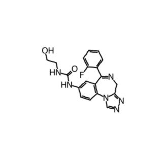 O=C(NCCO)Nc1ccc2c(c1)C(c1ccccc1F)=NCc1nncn1-2